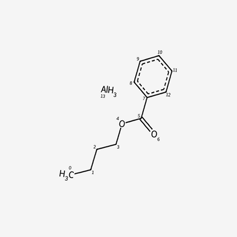 CCCCOC(=O)c1ccccc1.[AlH3]